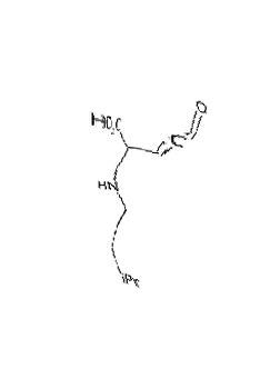 CC(C)CCNC(C=C=O)C(=O)O